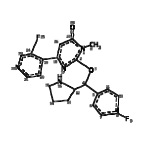 Cn1c(OC(c2ccc(F)cc2)C2CCCN2)nc(-c2ccncc2F)cc1=O